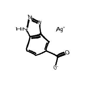 O=C([O-])c1ccc2[nH]nnc2c1.[Ag+]